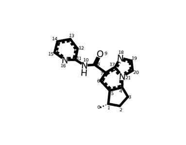 C[C@H]1CCc2c1cc(C(=O)Nc1ccccn1)c1nccn21